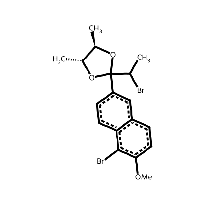 COc1ccc2cc(C3(C(C)Br)O[C@H](C)[C@@H](C)O3)ccc2c1Br